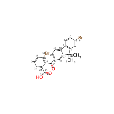 CC1(C)c2cc(Br)ccc2-c2ccc(C(=O)c3c(Br)cccc3C(=O)O)cc21